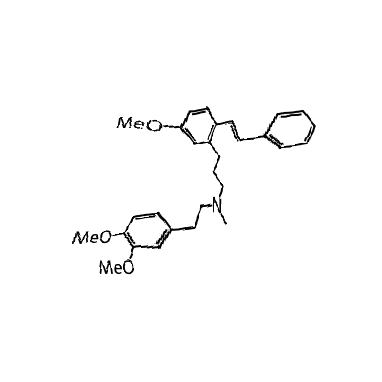 COc1ccc(C=Cc2ccccc2)c(CCCN(C)CCc2ccc(OC)c(OC)c2)c1